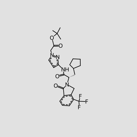 CC(C)(C)OC(=O)Cn1ccc(NC(=O)[C@H](CC2CCCC2)N2Cc3c(cccc3C(F)(F)F)C2=O)n1